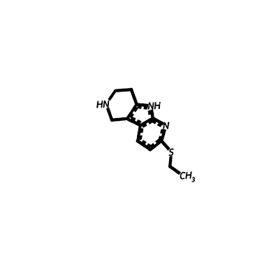 CCSc1ccc2c3c([nH]c2n1)CCNC3